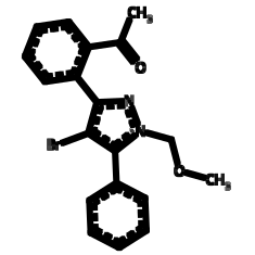 COCn1nc(-c2ccccc2C(C)=O)c(Br)c1-c1ccccc1